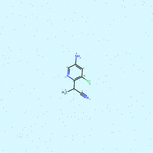 CC(C#N)c1ncc(N)cc1Cl